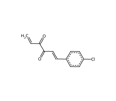 C=CC(=O)C(=O)C=Cc1ccc(Cl)cc1